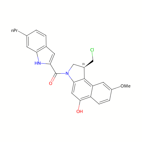 CCCc1ccc2cc(C(=O)N3C[C@@H](CCl)c4c3cc(O)c3ccc(OC)cc43)[nH]c2c1